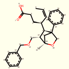 C/C=C\[C@H](CCC(=O)O)[C@@H]1[C@@H](COCc2ccccc2)[C@H]2CC1(c1ccccc1)CO2